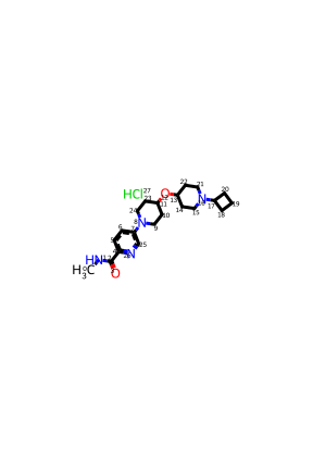 CNC(=O)c1ccc(N2CCC(OC3CCN(C4CCC4)CC3)CC2)cn1.Cl